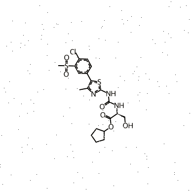 Cc1nc(NC(=O)N[C@@H](CO)C(=O)OC2CCCC2)sc1-c1ccc(Cl)c(S(C)(=O)=O)c1